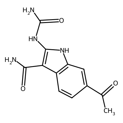 CC(=O)c1ccc2c(C(N)=O)c(NC(N)=O)[nH]c2c1